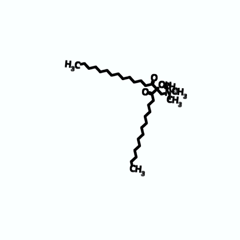 CCCCCCCCCCCCCC(=O)C(O)(C[N+](C)(C)C)C(=O)CCCCCCCCCCCCC